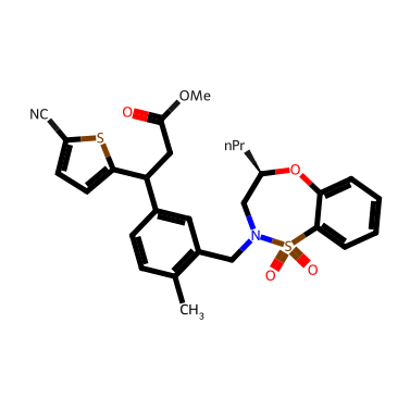 CCC[C@@H]1CN(Cc2cc(C(CC(=O)OC)c3ccc(C#N)s3)ccc2C)S(=O)(=O)c2ccccc2O1